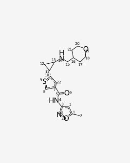 Cc1cc(NC(=O)c2csc([C@@H]3CC3NCC3CCOCC3)c2)no1